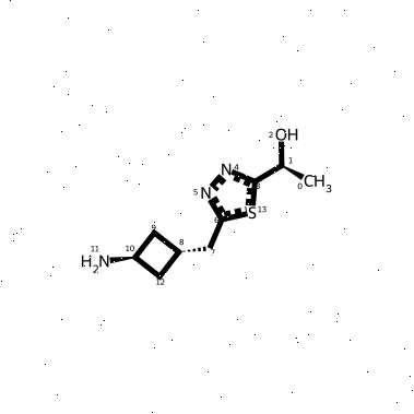 C[C@H](O)c1nnc(C[C@H]2C[C@H](N)C2)s1